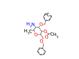 CC(=O)OC1C(COCc2ccccc2)OC(C)C(N)C1OCc1ccccc1